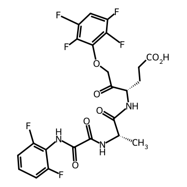 C[C@H](NC(=O)C(=O)Nc1c(F)cccc1F)C(=O)N[C@@H](CCC(=O)O)C(=O)COc1c(F)c(F)cc(F)c1F